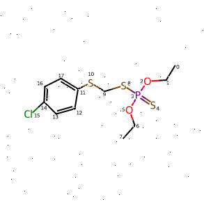 CCOP(=S)(OCC)SCSc1ccc(Cl)cc1